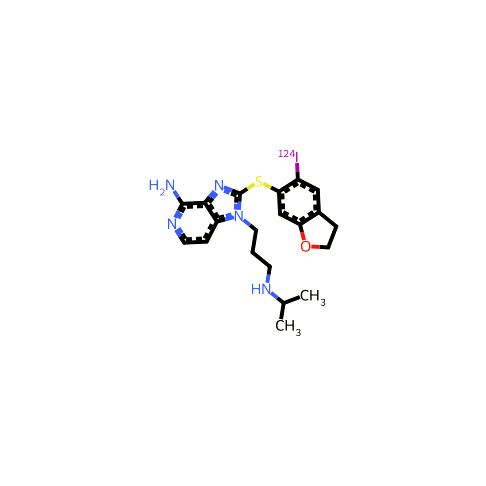 CC(C)NCCCn1c(Sc2cc3c(cc2[124I])CCO3)nc2c(N)nccc21